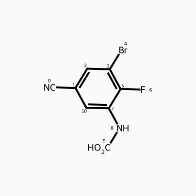 N#Cc1cc(Br)c(F)c(NC(=O)O)c1